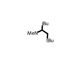 CCC(C)C(CC(C)(C)C)NC